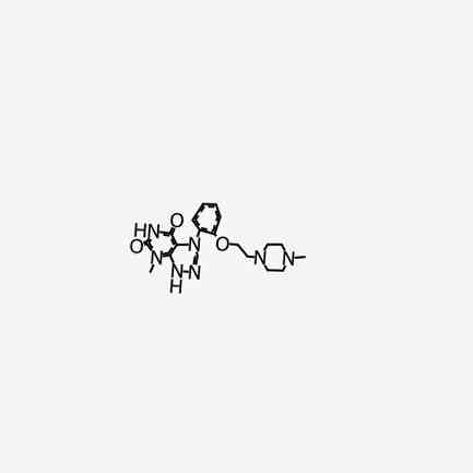 CN1CCN(CCOc2ccccc2N2C=NNc3c2c(=O)[nH]c(=O)n3C)CC1